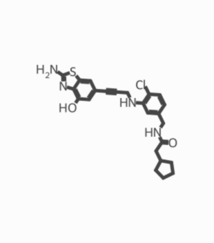 Nc1nc2c(O)cc(C#CCNc3cc(CNC(=O)CC4CCCC4)ccc3Cl)cc2s1